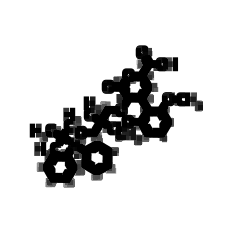 COc1cccc(OC)c1-c1cc(C(=O)O)oc(=O)c1OCC(C)(C)CO[Si](c1ccccc1)(c1ccccc1)C(C)(C)C